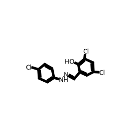 Oc1c(Cl)cc(Cl)cc1/C=N/Nc1ccc(Cl)cc1